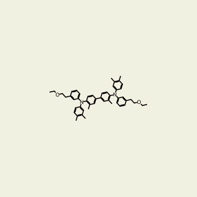 CCOCCc1cccc(N(c2ccc(C)c(C)c2)c2ccc(-c3ccc(N(c4cccc(CCOCC)c4)c4ccc(C)c(C)c4)c(C)c3)cc2C)c1